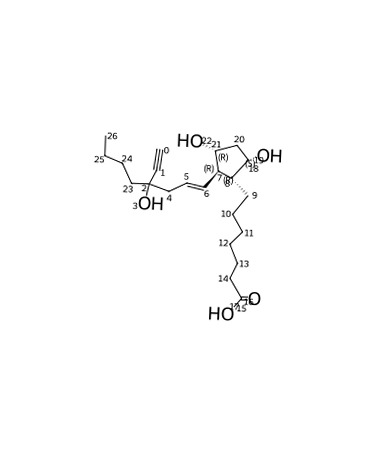 C#CC(O)(CC=C[C@@H]1[C@@H](CCCCCCC(=O)O)[C@@H](O)C[C@H]1O)CCCC